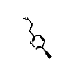 BCCc1ccc(C#C)nn1